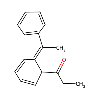 CCC(=O)C1C=CC=CC1=C(C)c1ccccc1